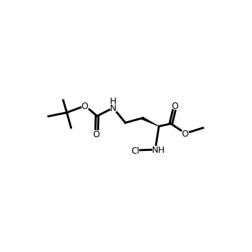 COC(=O)[C@H](CCNC(=O)OC(C)(C)C)NCl